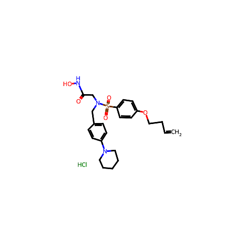 C=CCCOc1ccc(S(=O)(=O)N(CC(=O)NO)Cc2ccc(N3CCCCC3)cc2)cc1.Cl